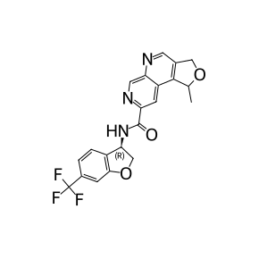 CC1OCc2cnc3cnc(C(=O)N[C@H]4COc5cc(C(F)(F)F)ccc54)cc3c21